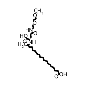 C=C(CCCCCCCCCCCCCCCCC(=O)O)N[C@@H](CCC(=O)NCCOCCOCC)C(=O)O